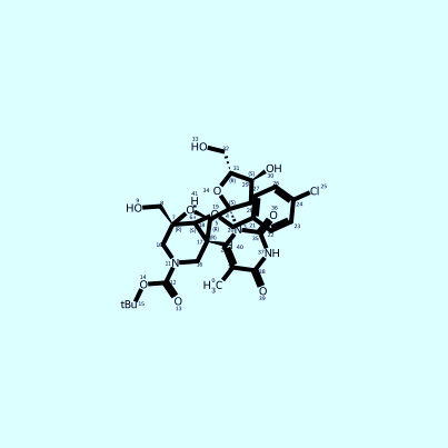 Cc1cn([C@@]2([C@@H]3O[C@@]4(CO)CN(C(=O)OC(C)(C)C)C[C@@H]3[C@@H]4OCc3ccc(Cl)cc3)C[C@H](O)[C@@H](CO)O2)c(=O)[nH]c1=O